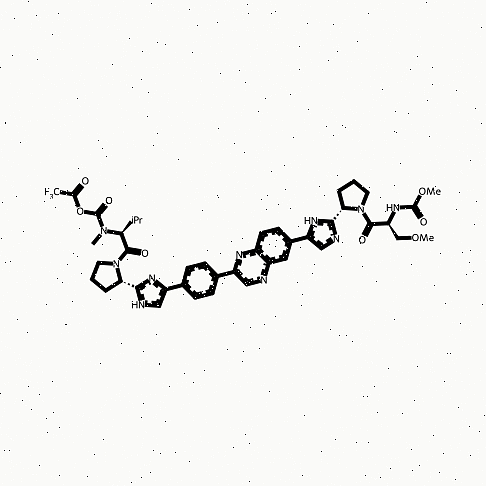 COC[C@H](NC(=O)OC)C(=O)N1CCC[C@H]1c1ncc(-c2ccc3nc(-c4ccc(-c5c[nH]c([C@@H]6CCCN6C(=O)[C@H](C(C)C)N(C)C(=O)OC(=O)C(F)(F)F)n5)cc4)cnc3c2)[nH]1